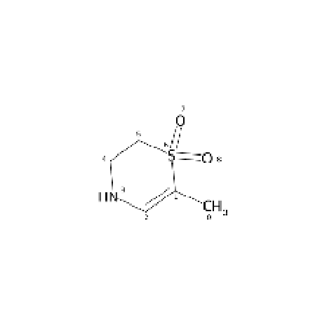 CC1=CNCCS1(=O)=O